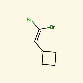 BrC(Br)=C[C]1CCC1